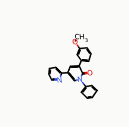 COc1cccc(-c2cc(-c3ccccn3)cn(-c3ccccc3)c2=O)c1